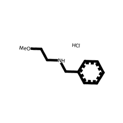 COCCNCc1ccccc1.Cl